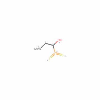 CNCC(O)P(=S)=S